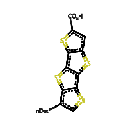 CCCCCCCCCCc1csc2c1sc1c3sc(C(=O)O)cc3sc21